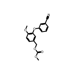 COC(=O)OCc1ccc(OC)c(Oc2cccc(C#N)c2)c1